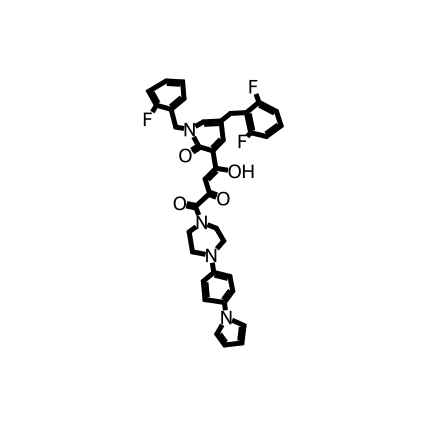 O=C(C=C(O)c1cc(Cc2c(F)cccc2F)cn(Cc2ccccc2F)c1=O)C(=O)N1CCN(c2ccc(-n3cccc3)cc2)CC1